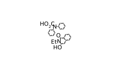 CCn1c(O)cc2ccccc2c1=O.O=C(O)N(c1ccccc1)c1ccccc1